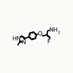 Cc1nc(-c2ccc(OC/C(=C\F)CN)cc2)c[nH]1